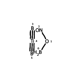 BON=O.[B]#[Ti]#[B]